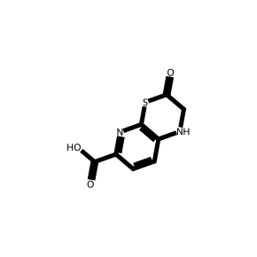 O=C1CNc2ccc(C(=O)O)nc2S1